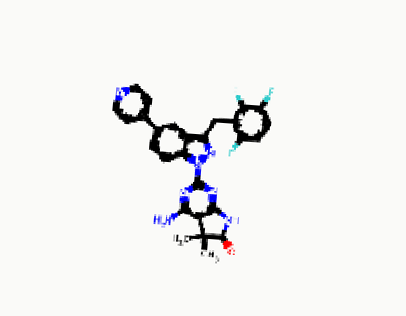 CC1(C)C(=O)Nc2nc(-n3nc(Cc4c(F)ccc(F)c4F)c4cc(-c5ccncc5)ccc43)nc(N)c21